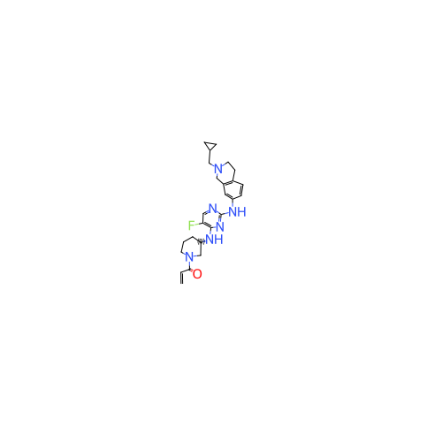 C=CC(=O)N1CCC[C@@H](Nc2nc(Nc3ccc4c(c3)CN(CC3CC3)CC4)ncc2F)C1